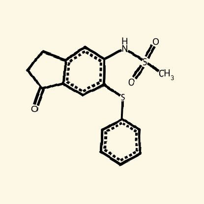 CS(=O)(=O)Nc1cc2c(cc1Sc1ccccc1)C(=O)CC2